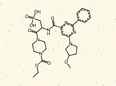 CCOC(=O)N1CCN(C(=O)C(CP(=O)(O)O)NC(=O)c2cc(N3CCC(OC)C3)nc(-c3ccccc3)n2)CC1